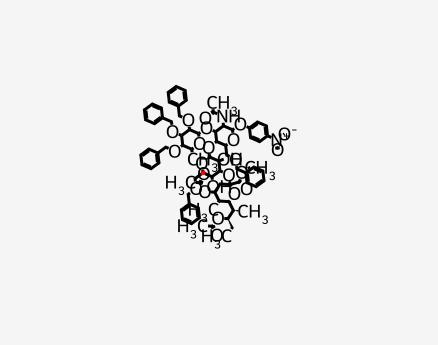 CC[C@@H](OC(C)=O)[C@@H](C)C1OC(OC2C(O)C(COCc3ccccc3)OC(OC3C(COCc4ccccc4)OC(Oc4ccc([N+](=O)[O-])cc4)C(NC(C)=O)C3OC3OC(C)C(OCc4ccccc4)C(OCc4ccccc4)C3OCc3ccccc3)C2O)(C(=O)OC)CC(OC(C)=O)C1C